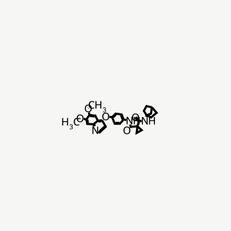 COc1cc2nccc(Oc3ccc(NC(=O)C4(C(=O)NC56CCC(CC5)C6)CC4)cc3)c2cc1OC